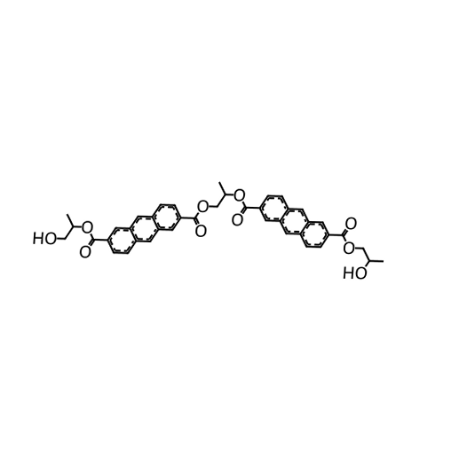 CC(O)COC(=O)c1ccc2cc3cc(C(=O)OC(C)COC(=O)c4ccc5cc6cc(C(=O)OC(C)CO)ccc6cc5c4)ccc3cc2c1